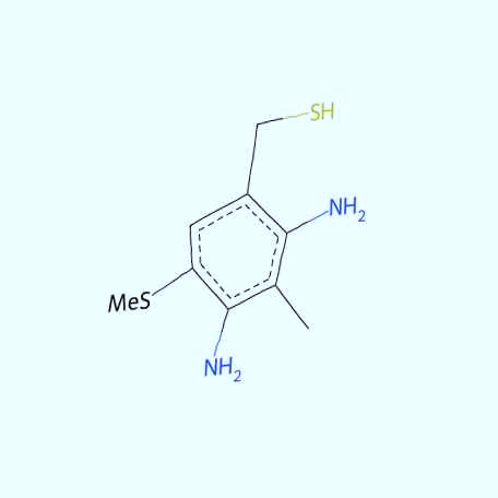 CSc1cc(CS)c(N)c(C)c1N